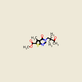 COC(=O)c1sc2ncn(CC(C)(C)C(C)=O)c(=O)c2c1C